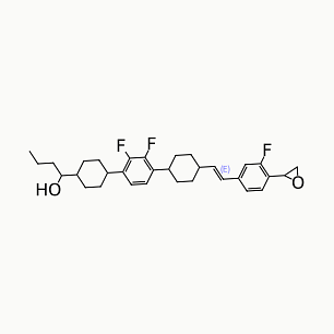 CCCC(O)C1CCC(c2ccc(C3CCC(/C=C/c4ccc(C5CO5)c(F)c4)CC3)c(F)c2F)CC1